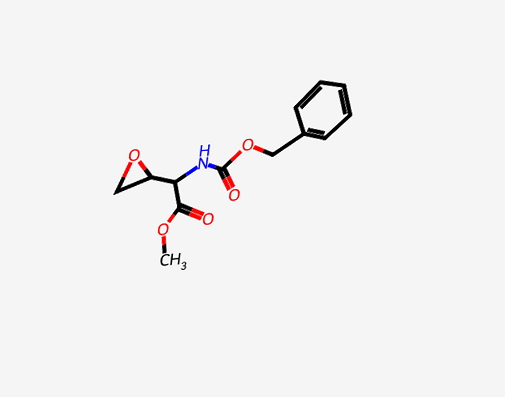 COC(=O)C(NC(=O)OCc1ccccc1)C1CO1